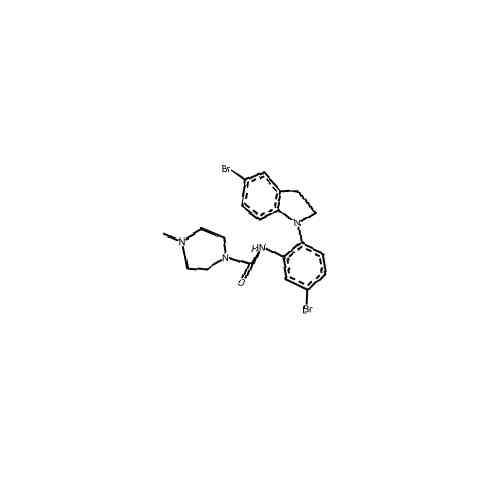 CN1CCN(C(=O)Nc2cc(Br)ccc2N2CCc3cc(Br)ccc32)CC1